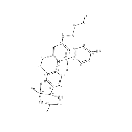 CCCCOC(=O)C[C@@H]1CCc2cc(C(O)(C(F)(F)F)C(F)(F)F)ccc2N1S(=O)(=O)c1ccc(F)cc1